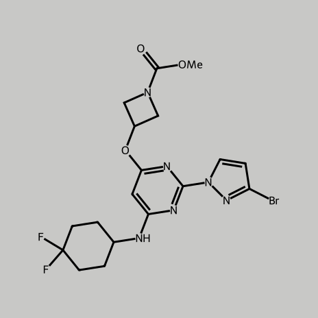 COC(=O)N1CC(Oc2cc(NC3CCC(F)(F)CC3)nc(-n3ccc(Br)n3)n2)C1